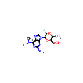 C[C@H](O)C(CO)O[C@H](CF)n1cnc2c(N(C)C)nc(N)nc21